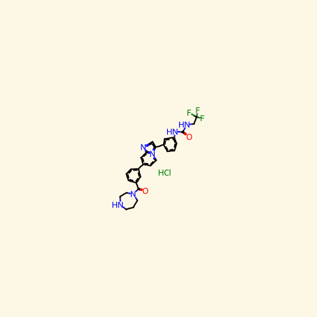 Cl.O=C(NCC(F)(F)F)Nc1cccc(-c2cnc3cc(-c4cccc(C(=O)N5CCCNCC5)c4)ccn23)c1